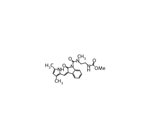 COC(=O)NCCN(C)C(=O)N1C(=O)/C(=C\c2[nH]c(C)cc2C)c2ccccc21